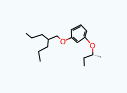 CCCC(CCC)COc1cccc(O[C@H](C)CC)c1